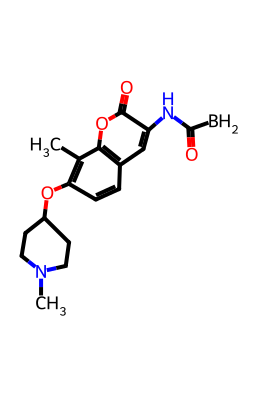 BC(=O)Nc1cc2ccc(OC3CCN(C)CC3)c(C)c2oc1=O